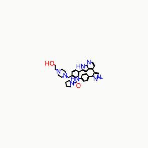 Cn1cc(-c2ccnc3[nH]c(-c4ccc(CN5CCN(CCO)CC5)cc4)cc23)c(-c2ccc(NC(=O)N3CCCC3)cc2)n1